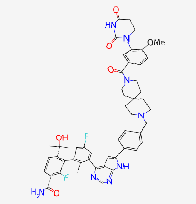 COc1ccc(C(=O)N2CCC3(CCN(Cc4ccc(-c5cc6c(-c7cc(F)cc(-c8c(C(C)(C)O)ccc(C(N)=O)c8F)c7C)ncnc6[nH]5)cc4)CC3)CC2)cc1N1CCC(=O)NC1=O